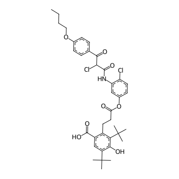 CCCCOc1ccc(C(=O)C(Cl)C(=O)Nc2cc(OC(=O)CCc3c(C(=O)O)cc(C(C)(C)C)c(O)c3C(C)(C)C)ccc2Cl)cc1